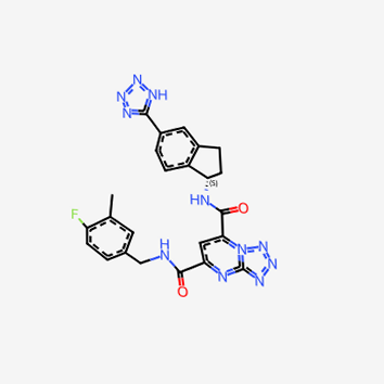 Cc1cc(CNC(=O)c2cc(C(=O)N[C@H]3CCc4cc(-c5nnn[nH]5)ccc43)n3nnnc3n2)ccc1F